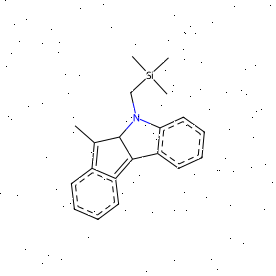 CC1=c2ccccc2=C2c3ccccc3N(C[Si](C)(C)C)C12